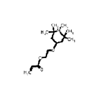 C=CC(=O)OCCOC1CC(C)(C)N(C)C(C)(C)C1